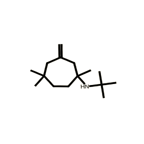 C=C1CC(C)(C)CCC(C)(NC(C)(C)C)C1